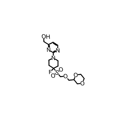 O=S(=O)(COCC1COCCO1)C1(F)CCN(c2nccc(CO)n2)CC1